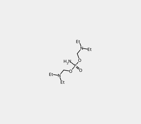 CCN(CC)COP(N)(=O)OCN(CC)CC